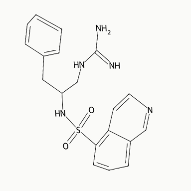 N=C(N)NCC(Cc1ccccc1)NS(=O)(=O)c1cccc2cnccc12